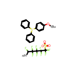 CC(C)(C)Oc1ccc([S+](c2ccccc2)c2ccccc2)cc1.CCCC(F)C(F)(F)C(F)(F)C(F)(F)C(F)(F)S(=O)(=O)[O-]